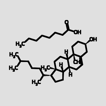 CC(C)CCCC(C)[C@H]1CC[C@H]2[C@@H]3CC=C4C[C@@H](O)CC[C@]4(C)[C@H]3CC[C@]12C.CCCCCCCC(=O)O